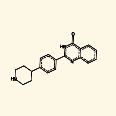 O=c1[nH]c(-c2ccc(C3CCNCC3)cc2)nc2ccccc12